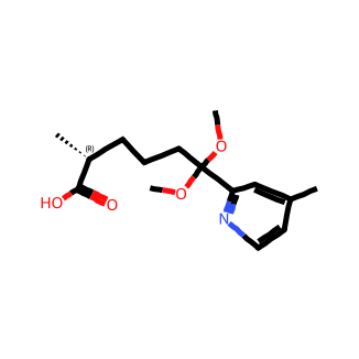 COC(CCC[C@@H](C)C(=O)O)(OC)c1cc(C)ccn1